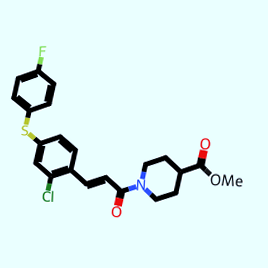 COC(=O)C1CCN(C(=O)C=Cc2ccc(Sc3ccc(F)cc3)cc2Cl)CC1